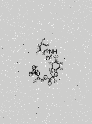 Cc1cc(C)cc(NC(=O)Cc2ccc(OC(C)(C)C(=O)OCC(C)O[N+](=O)[O-])cc2)c1